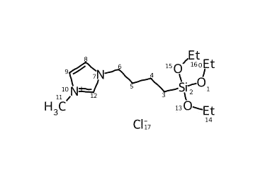 CCO[Si](CCCCn1cc[n+](C)c1)(OCC)OCC.[Cl-]